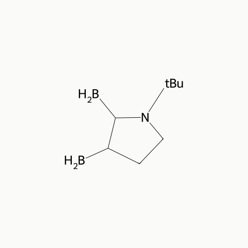 BC1CCN(C(C)(C)C)C1B